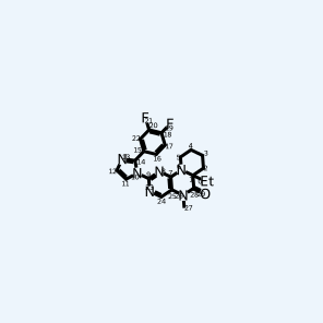 CCC12CCCCN1c1nc(-n3ccnc3-c3ccc(F)c(F)c3)ncc1N(C)C2=O